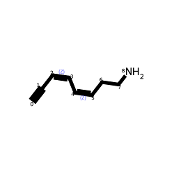 C#C/C=C\C=C/CCN